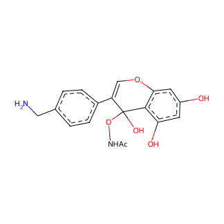 CC(=O)NOC1(O)C(c2ccc(CN)cc2)=COc2cc(O)cc(O)c21